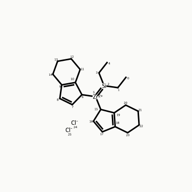 CC[Si](CC)=[Zr+2]([CH]1C=CC2=C1CCCC2)[CH]1C=CC2=C1CCCC2.[Cl-].[Cl-]